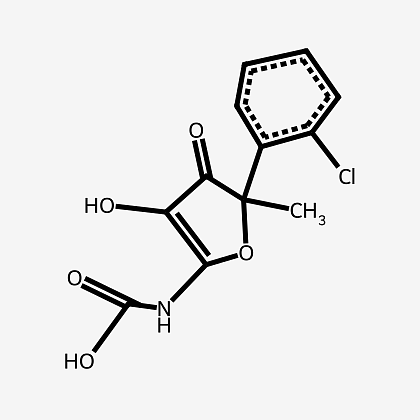 CC1(c2ccccc2Cl)OC(NC(=O)O)=C(O)C1=O